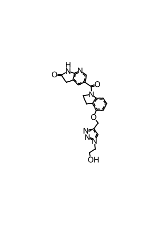 O=C1Cc2cc(C(=O)N3CCc4c(OCc5cn(CCO)nn5)cccc43)cnc2N1